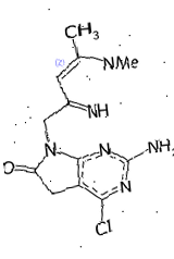 CN/C(C)=C\C(=N)CN1C(=O)Cc2c(Cl)nc(N)nc21